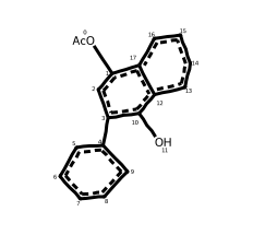 CC(=O)Oc1cc(-c2ccccc2)c(O)c2ccccc12